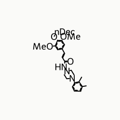 CCCCCCCCCCOc1c(OC)cc(/C=C/C(=O)NN2CCN(c3cccc(C)c3C)CC2)cc1OC